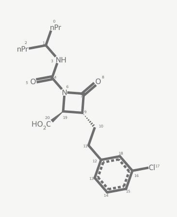 CCCC(CCC)NC(=O)N1C(=O)[C@H](CCc2cccc(Cl)c2)[C@H]1C(=O)O